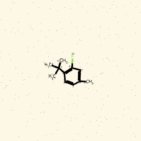 Cc1ccc(C(C)(C)C)c(F)c1